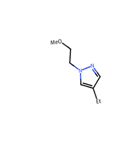 [CH2]Cc1cnn(CCOC)c1